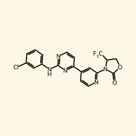 O=C1OCC(C(F)(F)F)N1c1cc(-c2ccnc(Nc3cccc(Cl)c3)n2)ccn1